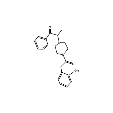 CC(C(=O)c1ccccc1)N1CCN(C(=O)Cc2ccccc2O)CC1